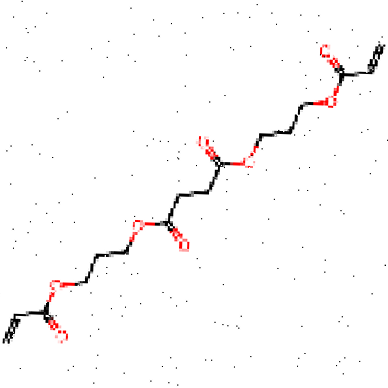 C=CC(=O)OCCCOC(=O)CCC(=O)OCCCOC(=O)C=C